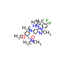 COc1ccc(N(C)c2ccc3nc(C)nc(N[C@H](C)c4cccc(C(F)F)c4C)c3c2)cc1CC(=O)N(C)C